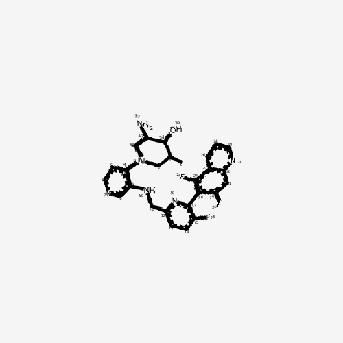 CC1CN(c2ccncc2NCc2ccc(F)c(-c3c(F)cc4ncccc4c3F)n2)CC(N)C1O